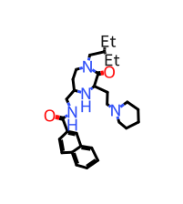 CCC(CC)CN1CCC(CNC(=O)c2ccc3ccccc3c2)NC(CCN2CCCCC2)C1=O